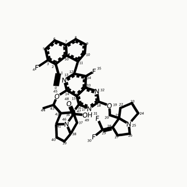 C#Cc1c(F)ccc2cccc(-c3nc4c5c(nc(OCC67CCCN6CCC7=C(F)F)nc5c3F)N3CC5CCC(C3C(C)O4)N5C(=O)O)c12